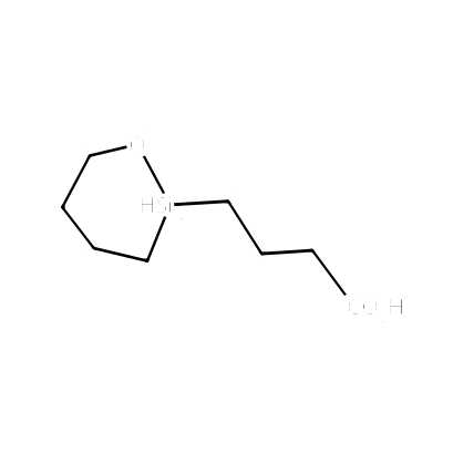 O=C(O)CCC[SiH]1CCCCO1